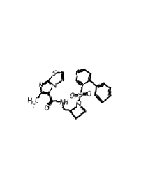 Cc1nc2sccn2c1C(=O)NCC1CCN1S(=O)(=O)c1ccccc1-c1ccccc1